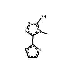 Cn1c(S)nnc1-c1nccs1